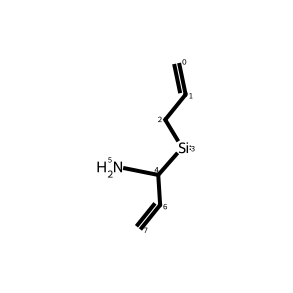 C=CC[Si]C(N)C=C